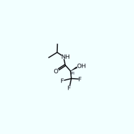 CC(C)NC(=O)[C@@H](O)C(F)(F)F